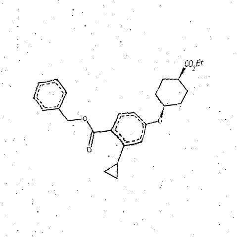 CCOC(=O)[C@H]1CC[C@@H](Oc2ccc(C(=O)OCc3ccccc3)c(C3CC3)c2)CC1